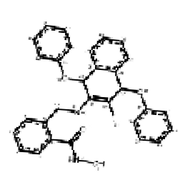 O=C(NO)c1ccccc1CNC1=C(Cl)C(Oc2ccccc2)c2ccccc2C1Oc1ccccc1